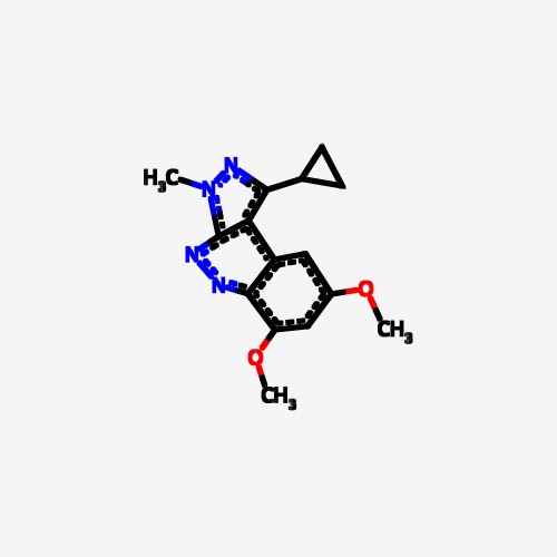 COc1cc(OC)c2nnc3c(c(C4CC4)nn3C)c2c1